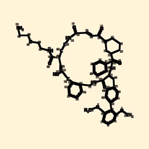 COc1cccc(OC)c1-c1ccc(C[C@@H]2NC(=O)[C@]3(Cc4ccccc4)CCCN(C3)C(=O)/C=C/C(=O)NCC[C@@H](C(=O)NCCOCCN)NC(O)Cc3ccccc3CNC2=O)cc1